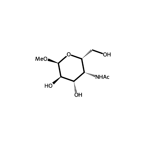 CO[C@H]1O[C@H](CO)[C@H](NC(C)=O)[C@H](O)[C@H]1O